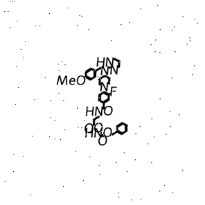 COc1ccc(CN(C2=NCCCN2)C2CCN(c3ccc(C(=O)NCCC(=O)ONC(=O)OCc4ccccc4)cc3F)CC2)cc1